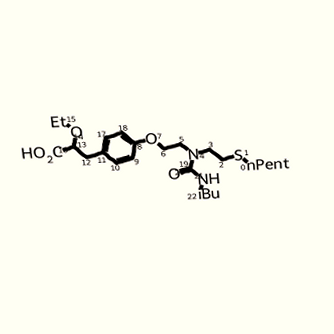 CCCCCSCCN(CCOc1ccc(CC(OCC)C(=O)O)cc1)C(=O)NC(C)CC